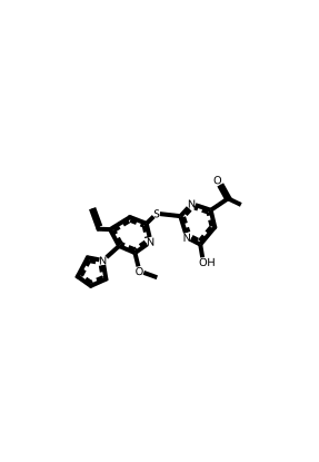 C=Cc1cc(Sc2nc(O)cc(C(C)=O)n2)nc(OC)c1-n1cccc1